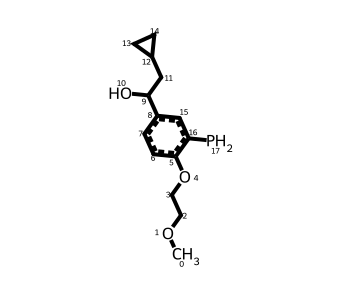 COCCOc1ccc(C(O)CC2CC2)cc1P